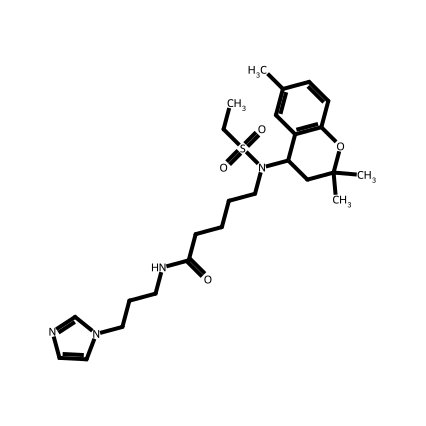 CCS(=O)(=O)N(CCCCC(=O)NCCCn1ccnc1)C1CC(C)(C)Oc2ccc(C)cc21